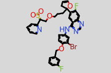 O=S(=O)=C(COCCCC1(c2cc3c(Nc4ccc(OCc5cccc(F)c5)c(Br)c4)ncnc3cc2F)CC=CO1)c1ccccn1